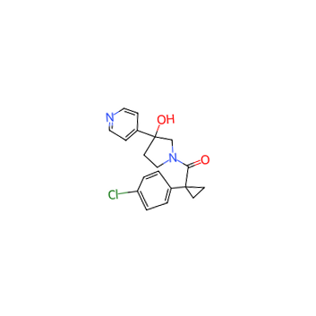 O=C(N1CCC(O)(c2ccncc2)C1)C1(c2ccc(Cl)cc2)CC1